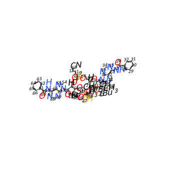 CC(C)(C)[Si](C)(C)OC1[C@H]2O[P@@](=S)(OCCC#N)OC[C@H]3O[C@@H](n4cnc5c(NC(=O)c6ccccc6)ncnc54)C(O[Si](C)(C)C(C)(C)C)[C@@H]3O[P@](=O)(S)OC[C@H]1O[C@H]2n1cnc2c(NC(=O)c3ccccc3)ncnc21